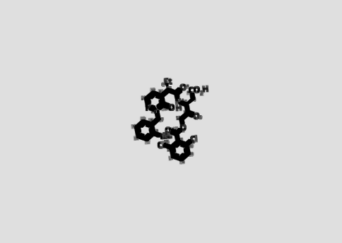 CC[C@H](C(=O)N[C@@H](CC(=O)O)C(=O)COC(=O)c1c(Cl)cccc1Cl)c1ccnn(Cc2ccccc2C(C)(C)C)c1=O